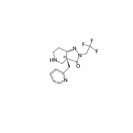 O=C1N(CC(F)(F)F)N=C2CCNC[C@@]12Cc1ccccn1